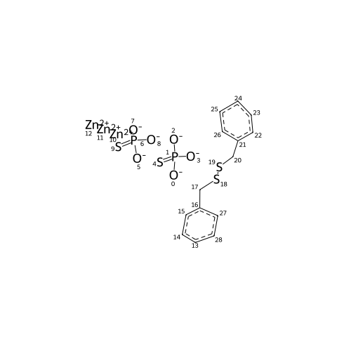 [O-]P([O-])([O-])=S.[O-]P([O-])([O-])=S.[Zn+2].[Zn+2].[Zn+2].c1ccc(CSSCc2ccccc2)cc1